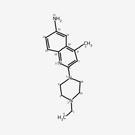 CCN1CCN(c2cc(C)c3cc(N)ccc3n2)CC1